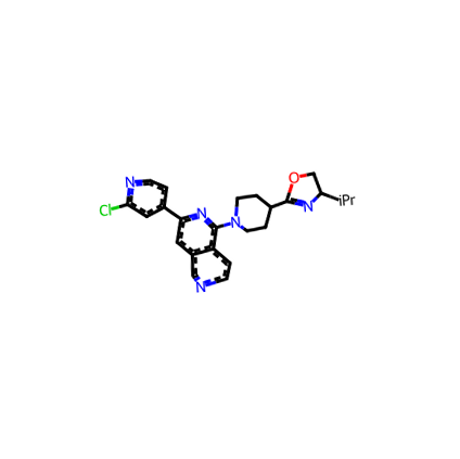 CC(C)C1COC(C2CCN(c3nc(-c4ccnc(Cl)c4)cc4cnccc34)CC2)=N1